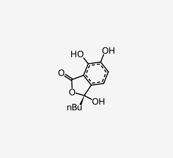 CCCC[C@@]1(O)OC(=O)c2c1ccc(O)c2O